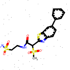 CS(=O)(=O)C(C(=O)NCCS(N)(=O)=O)c1nc2ccc(-c3ccccc3)cc2s1